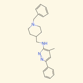 Cc1cc(-c2ccccc2)nnc1NCC1CCN(Cc2ccccc2)CC1